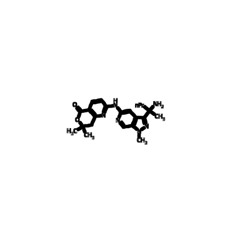 CCCC(C)(N)c1nn(C)c2cnc(Nc3ccc4c(n3)CC(C)(C)OC4=O)cc12